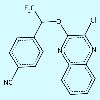 N#Cc1ccc(C(Oc2nc3ccccc3nc2Cl)C(F)(F)F)cc1